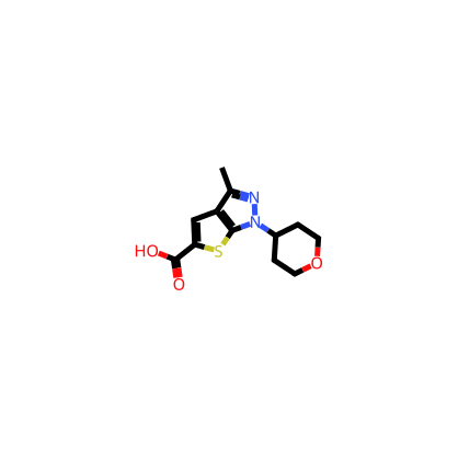 Cc1nn(C2CCOCC2)c2sc(C(=O)O)cc12